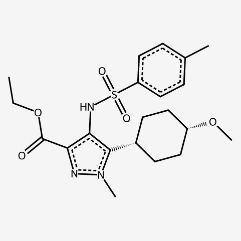 CCOC(=O)c1nn(C)c([C@H]2CC[C@@H](OC)CC2)c1NS(=O)(=O)c1ccc(C)cc1